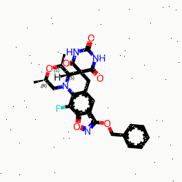 C[C@@H]1CN2c3c(cc4c(OCc5ccccc5)noc4c3F)CC3(C(=O)NC(=O)NC3=O)[C@H]2[C@H](C)O1